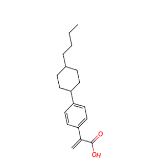 C=C(C(=O)O)c1ccc(C2CCC(CCCC)CC2)cc1